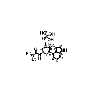 CCN(CC)C(=O)N[C@H]1C[C@@H]2c3cccc4[nH]cc(c34)C[C@H]2N(C)C1.O=P(O)(O)O